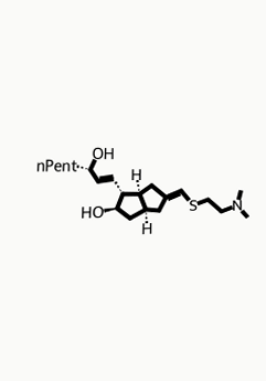 CCCCC[C@H](O)/C=C/[C@@H]1[C@H]2C/C(=C/SCCN(C)C)C[C@H]2C[C@H]1O